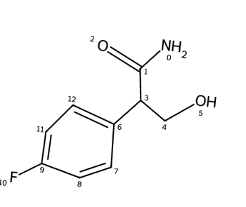 NC(=O)C(CO)c1ccc(F)cc1